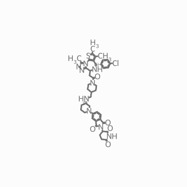 Cc1sc2c(c1C)[C@H](c1ccc(Cl)cc1)NC(CC(=O)N1CCC(CN[C@@H]3CCCN(c4ccc5c(c4)C(=O)N(C4CCC(=O)NC4=O)C5=O)C3)CC1)c1nnc(C)n1-2